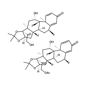 CC(=O)OCC(=O)[C@@]12OC(C)(C)O[C@@H]1C[C@H]1[C@@H]3C[C@H](F)C4=CC(=O)C=C[C@]4(C)[C@@]3(F)[C@@H](O)C[C@@]12C.CC1(C)O[C@@H]2C[C@H]3[C@@H]4C[C@H](F)C5=CC(=O)C=C[C@]5(C)[C@@]4(F)[C@@H](O)C[C@]3(C)[C@]2(C(=O)CO)O1